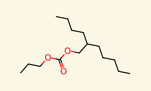 CCCCCC(CCCC)COC(=O)OCCC